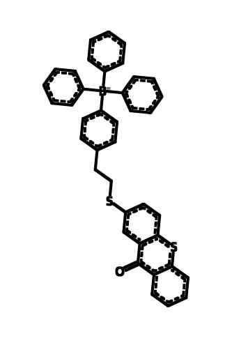 O=c1c2ccccc2sc2ccc(SCCc3ccc([B-](c4ccccc4)(c4ccccc4)c4ccccc4)cc3)cc12